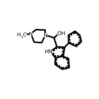 CN1CCN(C(O)c2[nH]c3ccccc3c2-c2ccccc2)CC1